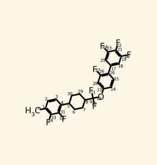 Cc1ccc(C2CCC(C(F)(F)Oc3ccc(-c4cc(F)c(F)c(F)c4)c(F)c3)CC2)c(F)c1F